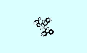 O=C(NC(Cc1cccnc1)C(=O)N1CCC2OCC(=O)C21)c1cnccc1-c1ccccc1